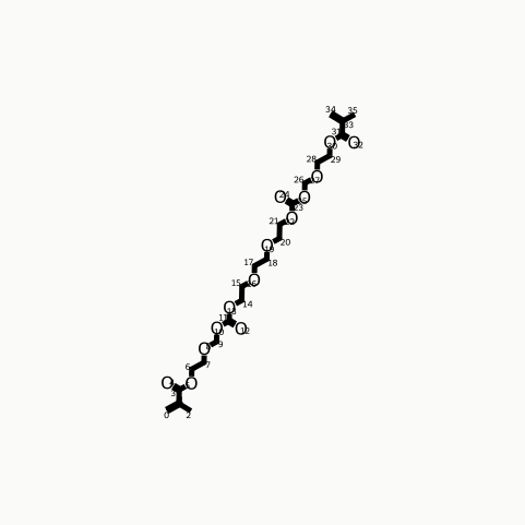 C=C(C)C(=O)OCCOCOC(=O)OCCOCCOCCOC(=O)OCOCCOC(=O)C(=C)C